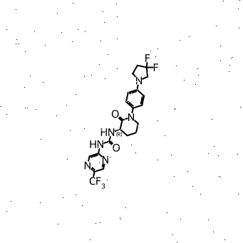 O=C(Nc1cnc(C(F)(F)F)cn1)N[C@@H]1CCCN(c2ccc(N3CCC(F)(F)C3)cc2)C1=O